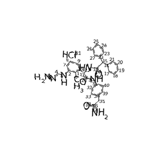 Cc1c(NC=NN)cccc1C(NC(=O)C(c1ccccc1)c1ccccc1)C(=O)Nc1ccc(CC(N)=O)cc1.Cl